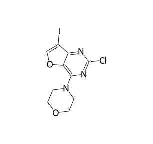 Clc1nc(N2CCOCC2)c2occ(I)c2n1